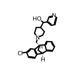 OC(c1cccnc1)C1CCN(C[C@@]23C[C@@H](c4ccccc42)c2ccc(Cl)cc23)CC1